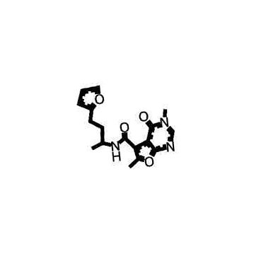 Cc1oc2ncn(C)c(=O)c2c1C(=O)NC(C)CCc1ccco1